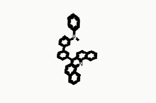 CP(c1ccccc1)c1cccc(-c2cccc(-c3c4ccc5ccccc5c4nc4c3ccc3ccccc34)c2)c1